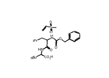 C=CS(C)(=O)=O.CCCCC(NC(=O)C(CC(C)C)NC(=O)OCc1ccccc1)C(=O)O